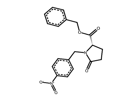 O=C(OCc1ccccc1)[C@@H]1CCC(=O)N1Cc1ccc([N+](=O)[O-])cc1